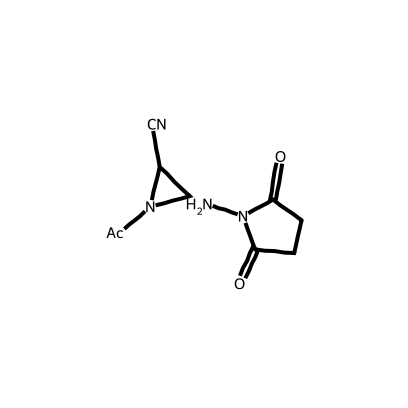 CC(=O)N1CC1C#N.NN1C(=O)CCC1=O